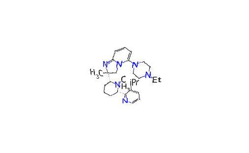 CCN1CCN(C2=CC=CC3=NC(C)([C@H]4CCC[C@@H](c5ncccc5C(C)C)N4C)CN23)CC1